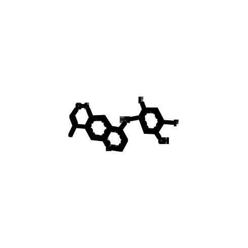 CC1=COSc2cc3c(Nc4cc(O)c(F)cc4F)ccnc3cc21